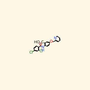 O=C(Nc1ccc(OCc2ccccn2)cc1C(=O)O)c1ccc(Cl)cc1Cl